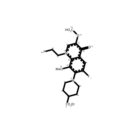 CCOC(=O)C1CCN(c2c(F)cc3c(=O)c(OC(=O)O)cn(CCF)c3c2OC)CC1